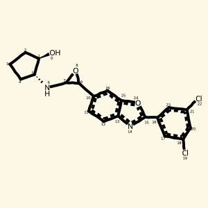 O[C@@H]1CCC[C@H]1NC1OC1c1ccc2nc(-c3cc(Cl)cc(Cl)c3)oc2c1